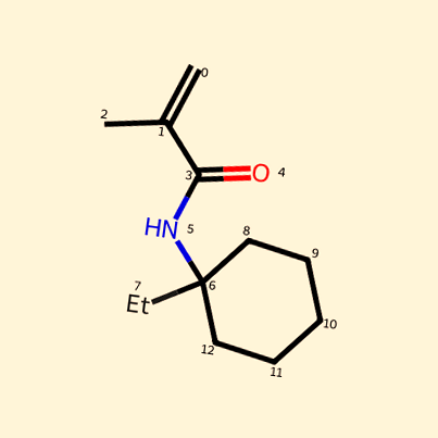 C=C(C)C(=O)NC1(CC)CCCCC1